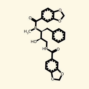 CN(C(=O)c1ccc2c(c1)OCO2)[C@@H](Cc1ccccc1)[C@H](O)CNC(=O)c1ccc2c(c1)OCO2